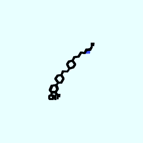 N#Cc1ccc([C@H]2CC[C@H](CC[C@H]3CC[C@H](CCCC/C=C/F)CC3)CC2)cc1F